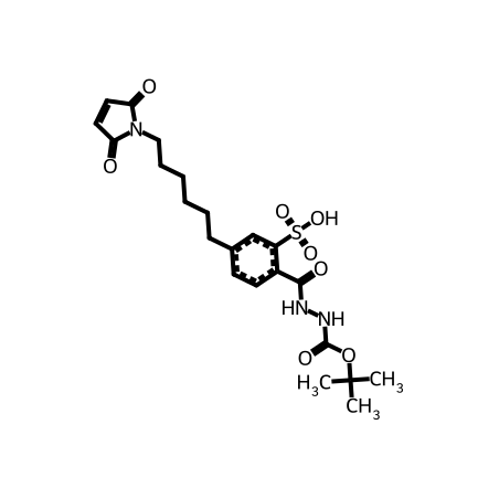 CC(C)(C)OC(=O)NNC(=O)c1ccc(CCCCCCN2C(=O)C=CC2=O)cc1S(=O)(=O)O